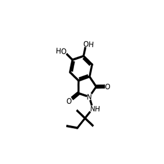 CCC(C)(C)NN1C(=O)c2cc(O)c(O)cc2C1=O